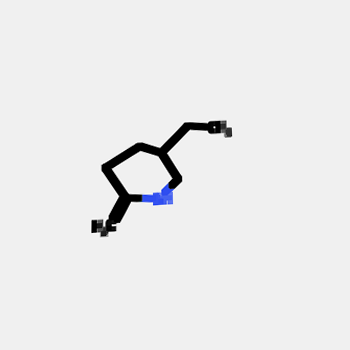 C=C1CCC(CC)CN1